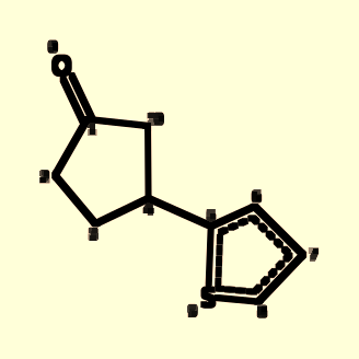 O=C1CCC(c2cccs2)C1